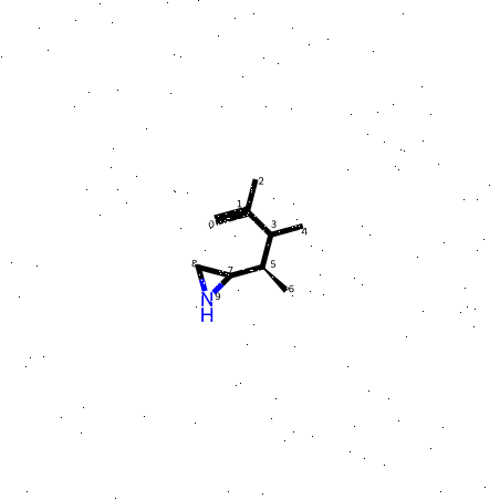 C=C(C)C(C)[C@@H](C)C1CN1